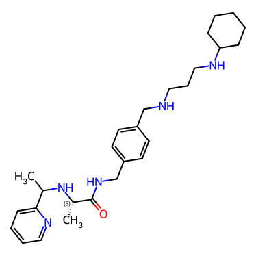 CC(N[C@@H](C)C(=O)NCc1ccc(CNCCCNC2CCCCC2)cc1)c1ccccn1